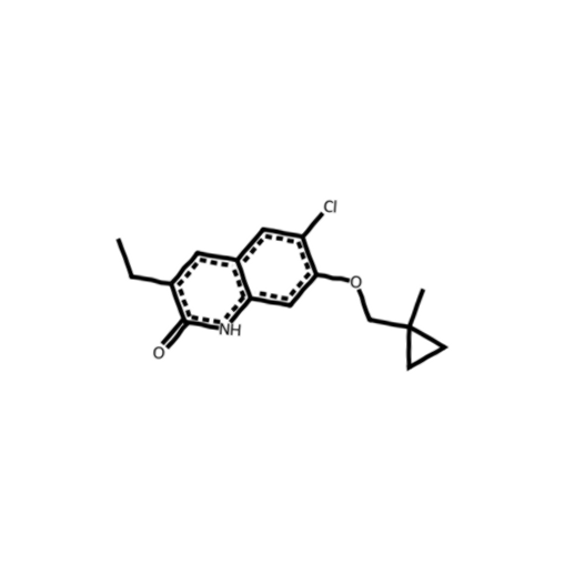 CCc1cc2cc(Cl)c(OCC3(C)CC3)cc2[nH]c1=O